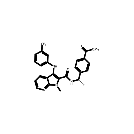 COC(=O)c1ccc([C@H](C)NC(=O)c2c(Nc3cccc(C(F)(F)F)c3)c3cccnc3n2C)cc1